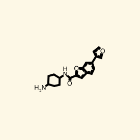 NC1CCC(NC(=O)c2cc3ccc(-c4ccoc4)cc3o2)CC1